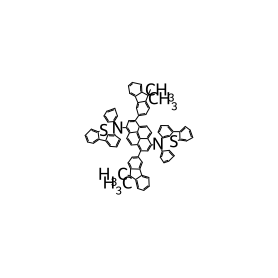 CC1(C)c2ccccc2-c2cc(-c3cc(N(c4ccccc4)c4cccc5c4sc4ccccc45)c4ccc5c(-c6ccc7c(c6)-c6ccccc6C7(C)C)cc(N(c6ccccc6)c6cccc7c6sc6ccccc67)c6ccc3c4c56)ccc21